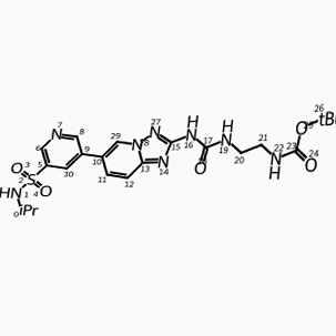 CC(C)NS(=O)(=O)c1cncc(-c2ccc3nc(NC(=O)NCCNC(=O)OC(C)(C)C)nn3c2)c1